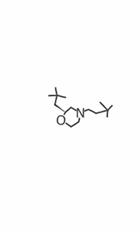 CC(C)(C)CCN1CCO[C@@H](CC(C)(C)C)C1